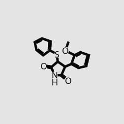 COc1ccccc1C1C(=O)NC(=O)C1Sc1ccccc1